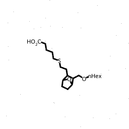 CCCCCCOCC1C2CCC(O2)C1CCSCCCCC(=O)O